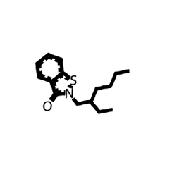 CCCCC(CC)Cn1sc2ccccc2c1=O